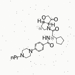 CCCN1CCN(c2ccc(C(=O)N[C@H](C(=O)N3C[C@H](C)[C@H]4OCC(=O)[C@H]43)C3CCCC3)cc2)CC1